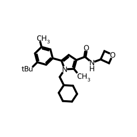 Cc1cc(-c2cc(C(=O)NC3COC3)c(C)n2CC2CCCCC2)cc(C(C)(C)C)c1